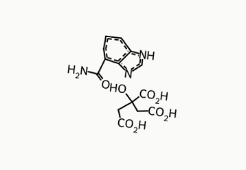 NC(=O)c1cccc2[nH]cnc12.O=C(O)CC(O)(CC(=O)O)C(=O)O